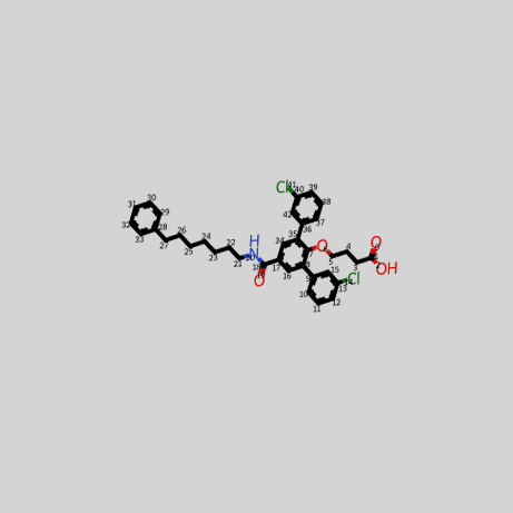 O=C(O)CCCOc1c(-c2cccc(Cl)c2)cc(C(=O)NCCCCCCCc2ccccc2)cc1-c1cccc(Cl)c1